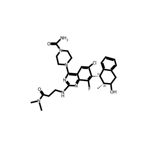 C[C@H]1C(O)Cc2ccccc2[C@H]1c1c(Cl)cc2c(N3CCN(C(N)=O)CC3)nc(NCCC(=O)N(C)C)nc2c1F